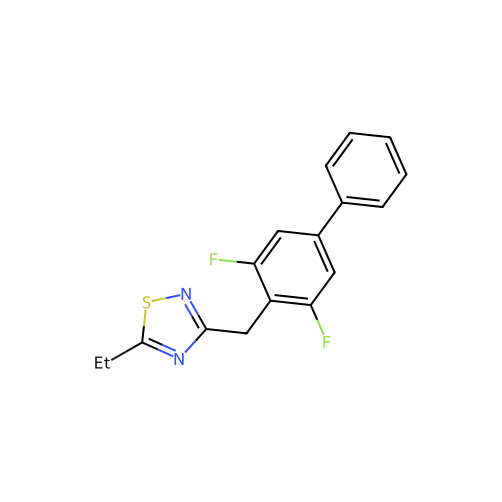 CCc1nc(Cc2c(F)cc(-c3ccccc3)cc2F)ns1